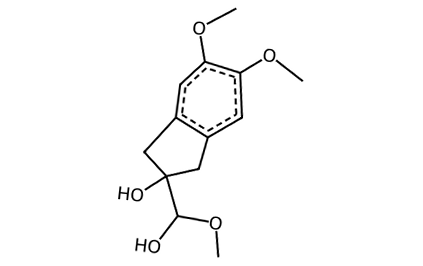 COc1cc2c(cc1OC)CC(O)(C(O)OC)C2